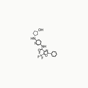 O=C(Nc1ccc(N[C@@H]2CC[C@H](O)C2)nc1)c1nc(-c2ccccc2)oc1C(F)(F)F